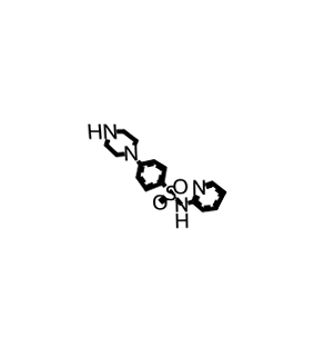 O=S(=O)(Nc1ccccn1)c1ccc(N2CCNCC2)cc1